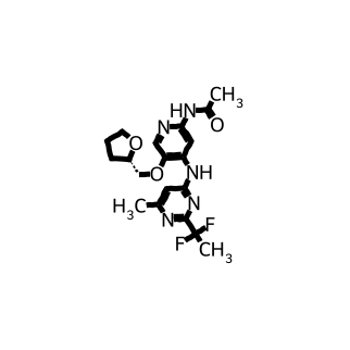 CC(=O)Nc1cc(Nc2cc(C)nc(C(C)(F)F)n2)c(OC[C@@H]2CCCO2)cn1